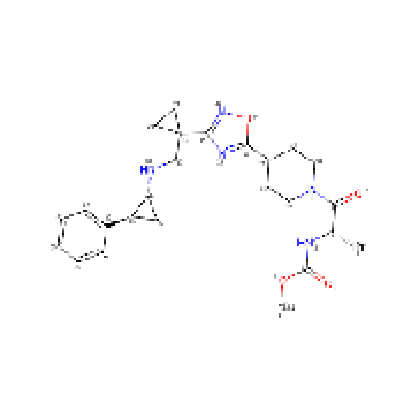 CC(C)[C@H](NC(=O)OC(C)(C)C)C(=O)N1CCC(c2nc(C3(CN[C@@H]4C[C@H]4c4ccccc4)CC3)no2)CC1